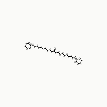 O=C(CCCCCCCCCOC1CCCCO1)CCCCCCCCCOC1CCCCO1